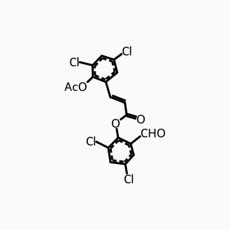 CC(=O)Oc1c(Cl)cc(Cl)cc1C=CC(=O)Oc1c(Cl)cc(Cl)cc1C=O